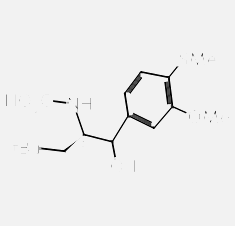 COc1cc(C(O)[C@@H](CC(C)(C)C)NC(=O)O)ccc1SC